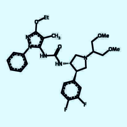 CCOc1nn(-c2ccccc2)c(NC(=O)N[C@@H]2CN(C(COC)COC)C[C@H]2c2ccc(F)c(F)c2)c1C